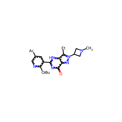 CCc1c2[nH]c(-c3cc(C(C)=O)cnc3OCC(C)C)nc(=O)c2nn1C1CN(C)C1